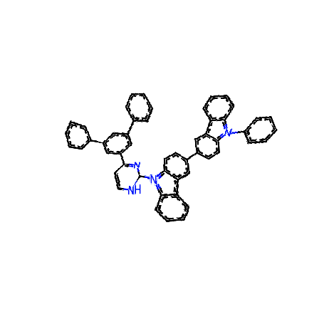 C1=CC(c2cc(-c3ccccc3)cc(-c3ccccc3)c2)=NC(n2c3ccccc3c3cc(-c4ccc5c(c4)c4ccccc4n5-c4ccccc4)ccc32)N1